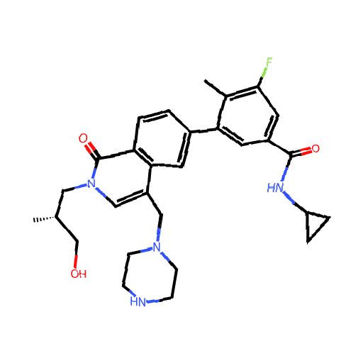 Cc1c(F)cc(C(=O)NC2CC2)cc1-c1ccc2c(=O)n(C[C@@H](C)CO)cc(CN3CCNCC3)c2c1